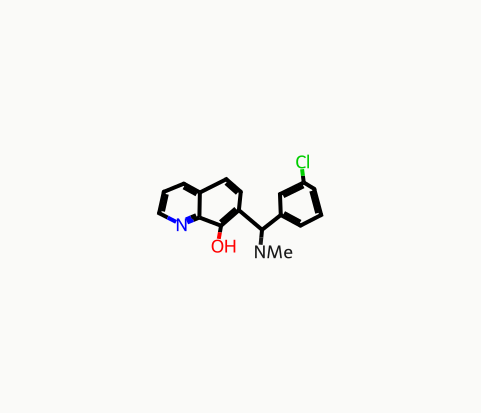 CNC(c1cccc(Cl)c1)c1ccc2cccnc2c1O